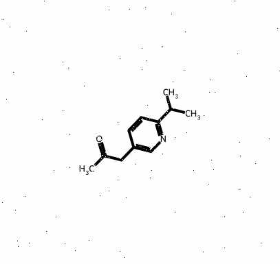 CC(=O)Cc1ccc(C(C)C)nc1